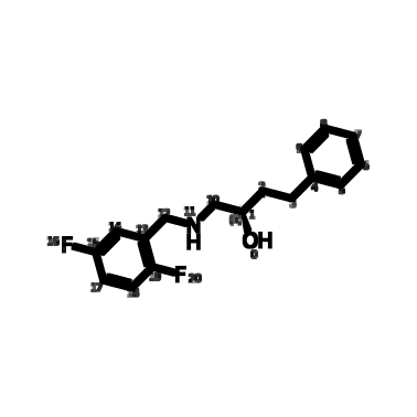 O[C@H]([CH]Cc1ccccc1)CNCc1cc(F)ccc1F